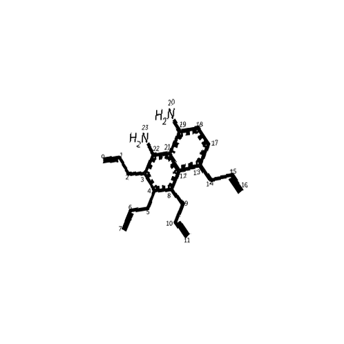 C=CCc1c(CC=C)c(CC=C)c2c(CC=C)ccc(N)c2c1N